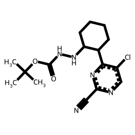 CC(C)(C)OC(=O)NNC1CCCCC1c1nc(C#N)ncc1Cl